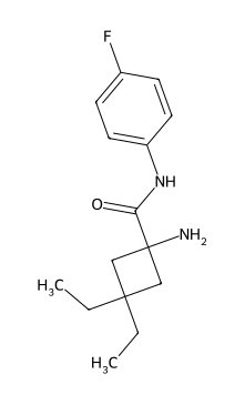 CCC1(CC)CC(N)(C(=O)Nc2ccc(F)cc2)C1